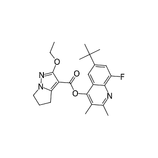 CCOc1nn2c(c1C(=O)Oc1c(C)c(C)nc3c(F)cc(C(C)(C)C)cc13)CCC2